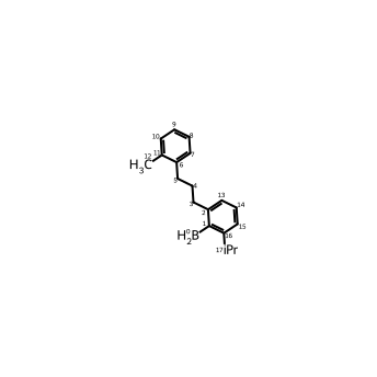 Bc1c(CCCc2ccccc2C)cccc1C(C)C